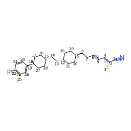 N#C/C(F)=C/C=C/CC[C@H]1CC[C@H](CC[C@H]2CC[C@H](c3ccc(F)c(F)c3)CC2)CC1